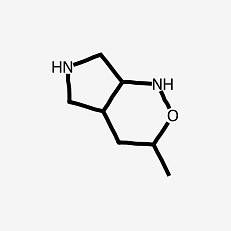 CC1CC2CNCC2NO1